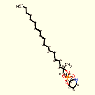 CCCCCCCCCCCCCCCCCC(C)(C)OP1(=O)OC2CCN(CC2)O1